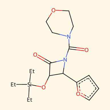 CC[Si](CC)(CC)OC1C(=O)N(C(=O)N2CCOCC2)C1c1ccco1